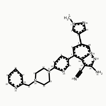 Cn1cc(-c2cc(-c3ccc(N4CCN(Cc5ccccn5)CC4)nc3)c3c(C#N)c(N)nn3c2)cn1